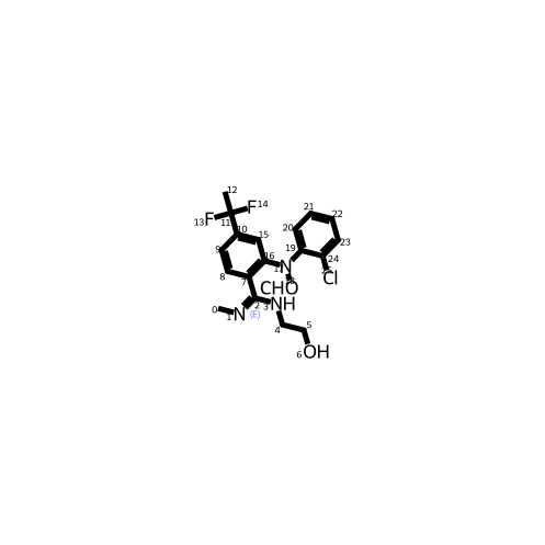 C/N=C(/NCCO)c1ccc(C(C)(F)F)cc1N(C=O)c1ccccc1Cl